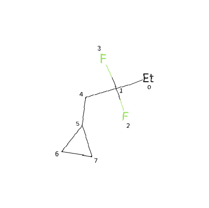 CCC(F)(F)CC1CC1